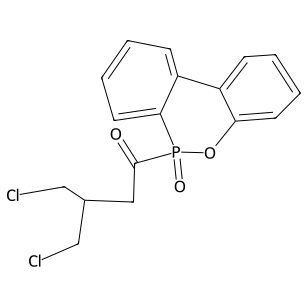 O=C(CC(CCl)CCl)P1(=O)Oc2ccccc2-c2ccccc21